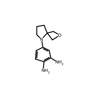 Nc1ccc(N2CCCC23COC3)cc1N